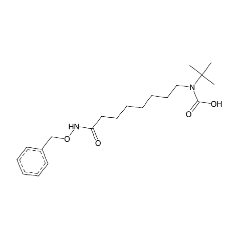 CC(C)(C)N(CCCCCCCC(=O)NOCc1ccccc1)C(=O)O